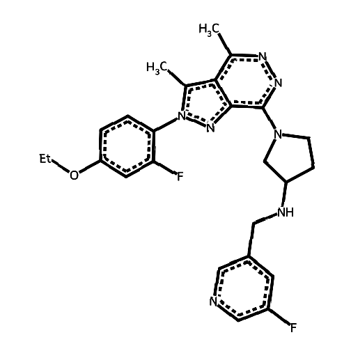 CCOc1ccc(-n2nc3c(N4CCC(NCc5cncc(F)c5)C4)nnc(C)c3c2C)c(F)c1